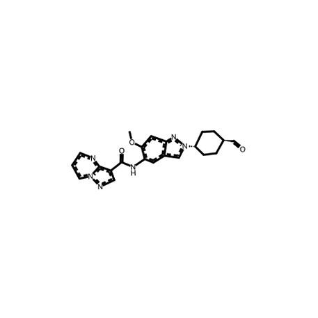 COc1cc2nn([C@H]3CC[C@H](C=O)CC3)cc2cc1NC(=O)c1cnn2cccnc12